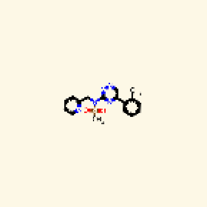 Cc1ccccc1-c1cnnc(N(Cc2ccccn2)S(C)(=O)=O)n1